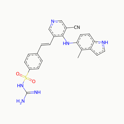 Cc1c(Nc2c(C#N)cncc2/C=C/c2ccc(S(=O)(=O)NC(=N)N)cc2)ccc2[nH]ccc12